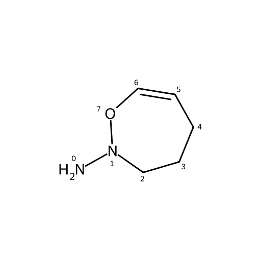 NN1CCCC=CO1